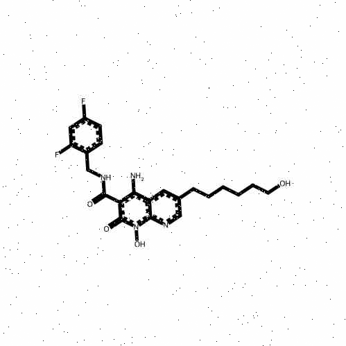 Nc1c(C(=O)NCc2ccc(F)cc2F)c(=O)n(O)c2ncc(CCCCCCO)cc12